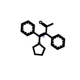 CC(=O)/C(=C(\c1ccccc1)N1CCCC1)c1ccccc1